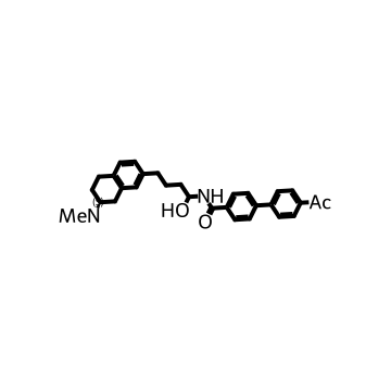 CN[C@H]1CCc2ccc(CCCC(O)NC(=O)c3ccc(-c4ccc(C(C)=O)cc4)cc3)cc2C1